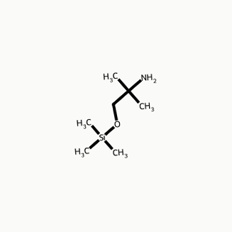 CC(C)(N)CO[Si](C)(C)C